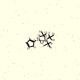 CC(C)(C)[Si]([O][Ti][C]1=CC=CC1)(C(C)(C)C)C(C)(C)C